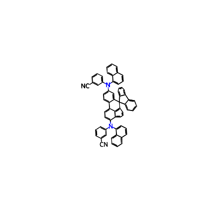 N#Cc1cccc(N(c2ccc3c(c2)C2(c4ccccc4-c4ccccc42)c2cccc4c(N(c5cccc(C#N)c5)c5cccc6ccccc56)ccc-3c24)c2cccc3ccccc23)c1